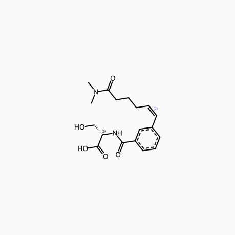 CN(C)C(=O)CCC/C=C\c1cccc(C(=O)N[C@@H](CO)C(=O)O)c1